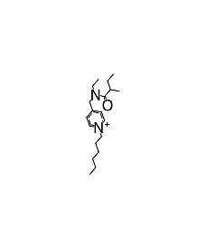 CCCCCC[n+]1ccc(CN(CC)C(=O)C(C)CC)cc1